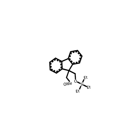 CC[Si](CC)(CC)OCC1(COC)c2ccccc2-c2ccccc21